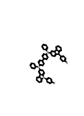 Fc1ccc(C2c3ccccc3-c3cc(N(c4ccccc4)c4ccc(-c5ccc(N(c6ccccc6)c6ccc7c(c6)c6ccccc6n7-c6ccc(F)cc6)cc5)cc4)ccc32)cc1